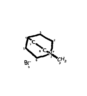 C[N+]12CCC(CC1)CC2.[Br-]